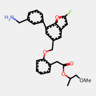 COCC(C)OC(=O)Cc1ccccc1OCc1cc(-c2cccc(CN)c2)c2oc(F)cc2c1